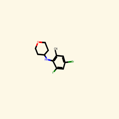 N#Cc1cc(Br)cc(F)c1NC1CCOCC1